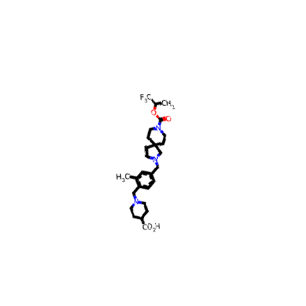 Cc1cc(CN2CCC3(CCN(C(=O)OC(C)C(F)(F)F)CC3)C2)ccc1CN1CCC(C(=O)O)CC1